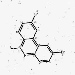 C[n+]1nc2ccc(Br)cc2c2cc(Br)ccc21